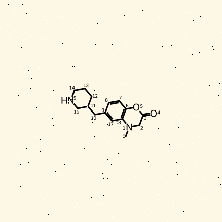 CN1CC(=O)Oc2ccc(CC3CCCNC3)cc21